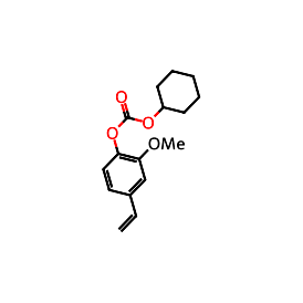 C=Cc1ccc(OC(=O)OC2CCCCC2)c(OC)c1